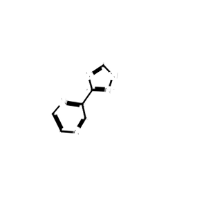 c1cnc(-c2nc[nH]n2)cn1